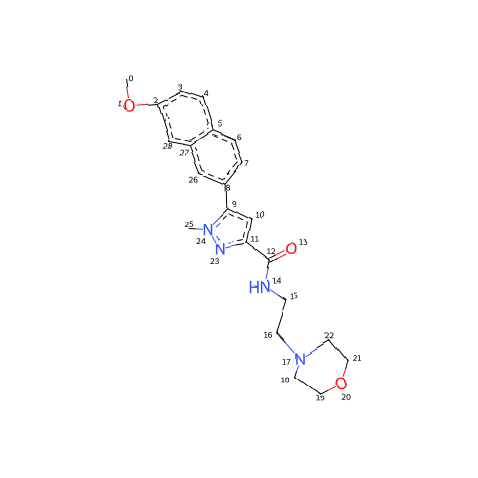 COc1ccc2ccc(-c3cc(C(=O)NCCN4CCOCC4)nn3C)cc2c1